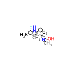 Bc1cc(F)c2c(c1)[C@@H](C)[C@@H](CC[C@@H](C)CN(CC)CCO)[C@H](C1C=CC=CC1)N2